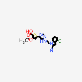 CCOc1cc(-c2cc(NCCn3c(C#N)cc4c(Cl)cccc43)ncn2)sc1C(=O)O